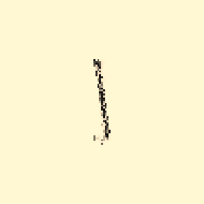 [N-]=[N+]=NCCOCCOCCOCCOCCOCCOCCOCCOCCOCCOCCN